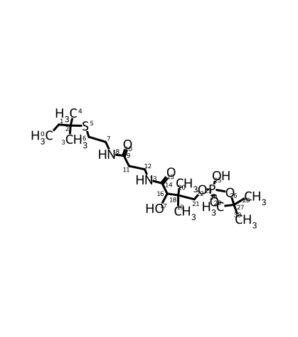 CCC(C)(C)SCCNC(=O)CCNC(=O)C(O)C(C)(C)COP(=O)(O)OC(C)(C)C